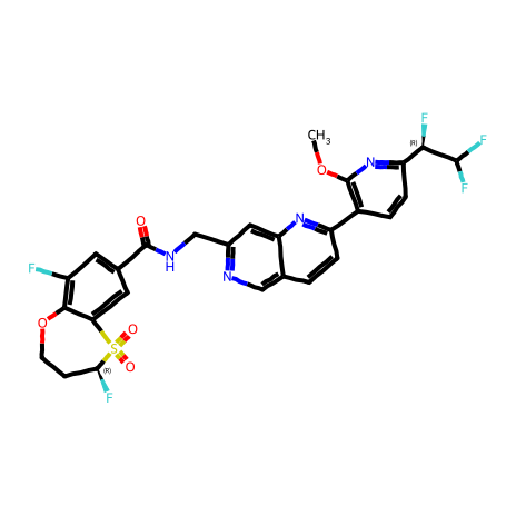 COc1nc([C@@H](F)C(F)F)ccc1-c1ccc2cnc(CNC(=O)c3cc(F)c4c(c3)S(=O)(=O)[C@@H](F)CCO4)cc2n1